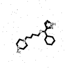 CC(=O)N1CCN(CCCCOC(c2cc[nH]n2)C2CCCCC2)CC1